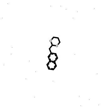 c1ccc2cc(CC3OCCCO3)ccc2c1